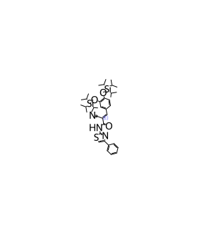 CC(C)[Si](Oc1ccc(/C=C(\C#N)C(=O)Nc2nc(-c3ccccc3)cs2)cc1O[Si](C(C)C)(C(C)C)C(C)C)(C(C)C)C(C)C